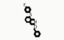 Fc1ccc(SC2=CCCc3cc(OCc4ccccc4)ncc32)cc1